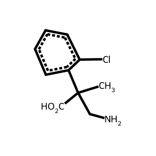 CC(CN)(C(=O)O)c1ccccc1Cl